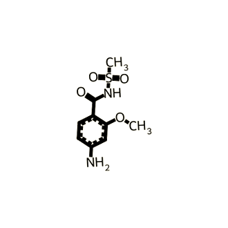 COc1cc(N)ccc1C(=O)NS(C)(=O)=O